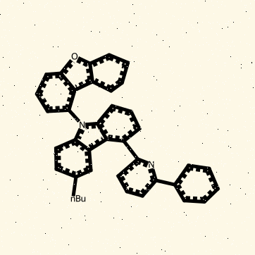 CCCCc1ccc2c(c1)c1c(-c3cccc(-c4ccccc4)n3)cccc1n2-c1cccc2oc3ccccc3c12